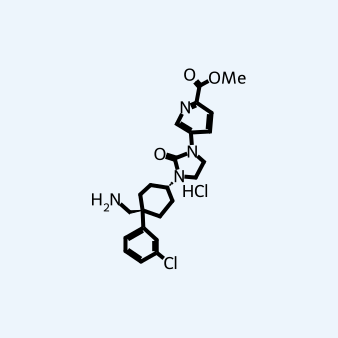 COC(=O)c1ccc(N2CCN([C@H]3CC[C@@](CN)(c4cccc(Cl)c4)CC3)C2=O)cn1.Cl